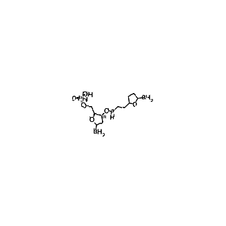 BC1CCC(CCPO[C@H]2CC(B)OC2CO[PH](=O)O)O1